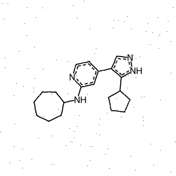 c1cc(-c2cn[nH]c2C2CCCC2)cc(NC2CCCCCC2)n1